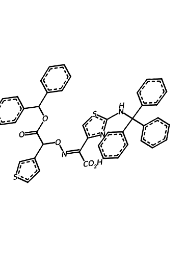 O=C(O)C(=NOC(C(=O)OC(c1ccccc1)c1ccccc1)c1ccsc1)c1csc(NC(c2ccccc2)(c2ccccc2)c2ccccc2)n1